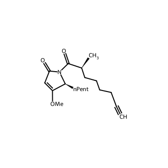 C#CCCCC[C@H](C)C(=O)N1C(=O)C=C(OC)[C@@H]1CCCCC